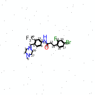 CN1CCN(Cc2ccc(NC(=O)CCc3ccc(Br)cc3F)cc2C(F)(F)F)CC1